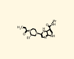 C=CC(=O)N1CCN(C2=CN=C3NC=C(C(=O)NC(C)C)C3N2)C[C@@H]1CC